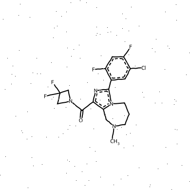 CN1CCCn2c(-c3cc(Cl)c(F)cc3F)nc(C(=O)N3CC(F)(F)C3)c2C1